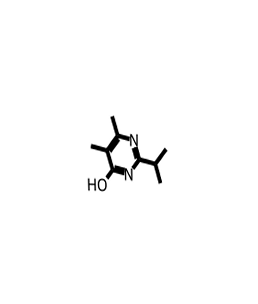 Cc1nc(C(C)C)nc(O)c1C